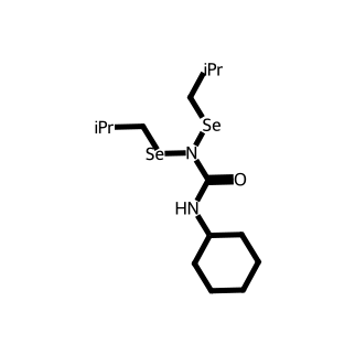 CC(C)C[Se]N([Se]CC(C)C)C(=O)NC1CCCCC1